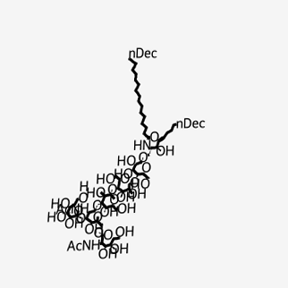 CCCCCCCCCCCCC/C=C/[C@@H](O)[C@H](CO[C@@H]1OC(CO)[C@@H](O[C@@H]2OC(CO)[C@H](O[C@@H]3OC(CO)[C@H](O)[C@H](O[C@@H]4OC(CO[C@@H]5OC(CO)[C@@H](O)[C@H](O)C5NC(C)=O)[C@H](O)[C@H](O[C@@H]5OC(CO)[C@H](O)[C@H](O)C5O)C4NC(C)=O)C3O)[C@H](O)C2O)[C@H](O)C1O)NC(=O)CCCCCCCCCCCCCCCCCCCCCCCCC